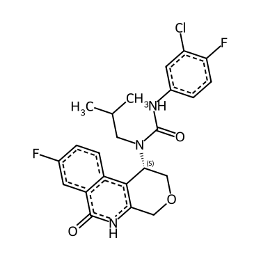 CC(C)CN(C(=O)Nc1ccc(F)c(Cl)c1)[C@@H]1COCc2[nH]c(=O)c3cc(F)ccc3c21